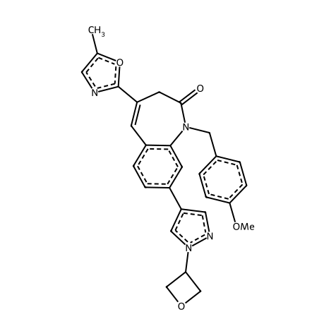 COc1ccc(CN2C(=O)CC(c3ncc(C)o3)=Cc3ccc(-c4cnn(C5COC5)c4)cc32)cc1